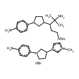 Br.CCCCCCCCCCCCC(C1CCN(c2ccc(N)cc2)C1)C(C)(C)N.C[n+]1ccn(C2CCN(c3ccc(N)cc3)C2)c1